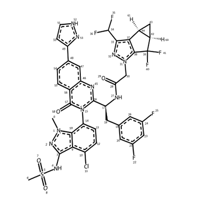 Cn1nc(NS(C)(=O)=O)c2c(Cl)ccc(-n3c([C@H](Cc4cc(F)cc(F)c4)NC(=O)Cn4nc(C(F)F)c5c4C(F)(F)[C@@H]4C[C@H]54)nc4cc(-c5cc[nH]n5)ccc4c3=O)c21